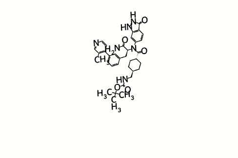 Cc1cnccc1-c1cccc(C[C@@H](C(N)=O)N(c2ccc3c(=O)[nH][nH]c3c2)C(=O)[C@H]2CC[C@H](CNC(=O)OC(C)(C)C)CC2)c1